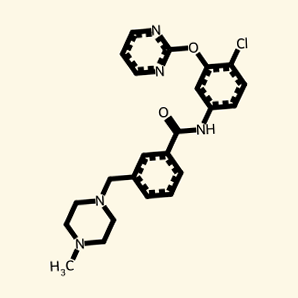 CN1CCN(Cc2cccc(C(=O)Nc3ccc(Cl)c(Oc4ncccn4)c3)c2)CC1